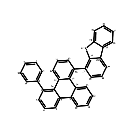 c1ccc(-c2cccc3c4ccccc4c4c(-c5cccc6c5sc5ccccc56)cccc4c23)cc1